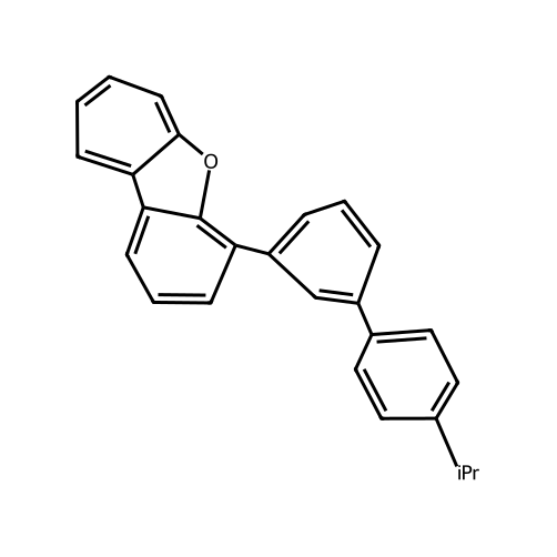 CC(C)c1ccc(-c2cccc(-c3cccc4c3oc3ccccc34)c2)cc1